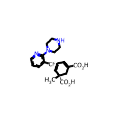 C[C@@]1(C(=O)O)C=CC=C(C(=O)O)C1.FC(F)(F)c1cccnc1N1CCNCC1